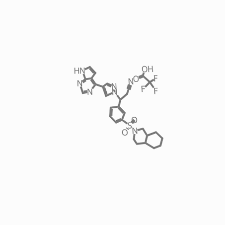 N#CCC(c1cccc(S(=O)(=O)N2CCC3CCCCC3C2)c1)n1cc(-c2ncnc3[nH]ccc23)cn1.O=C(O)C(F)(F)F